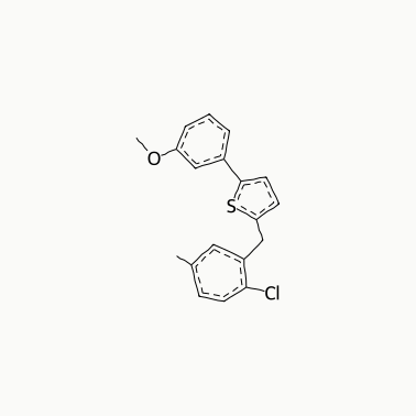 COc1cccc(-c2ccc(Cc3cc(C)ccc3Cl)s2)c1